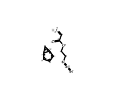 C=CC(=O)OCCN=[N+]=[N-].c1cc2cc-2c1